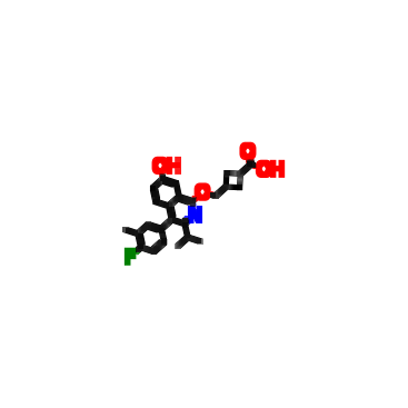 Cc1cc(-c2c(C(C)C)nc(OCC3CC(C(=O)O)C3)c3cc(O)ccc23)ccc1F